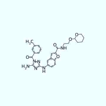 Cc1cccc(C(=O)n2nc(Nc3ccc4oc(C(=O)NCCOC5CCCCO5)cc4c3)nc2N)c1